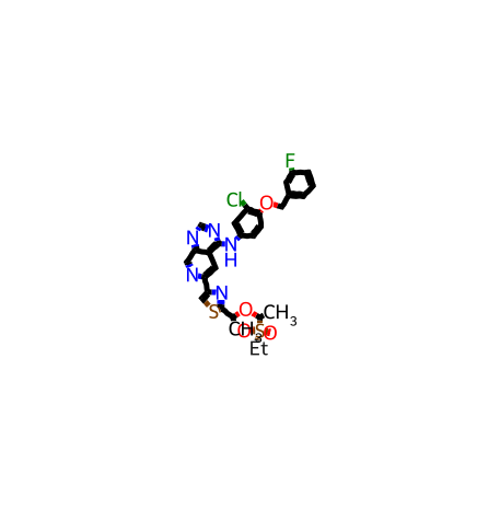 CCS(=O)(=O)C(C)OC(C)c1nc(-c2cc3c(Nc4ccc(OCc5cccc(F)c5)c(Cl)c4)ncnc3cn2)cs1